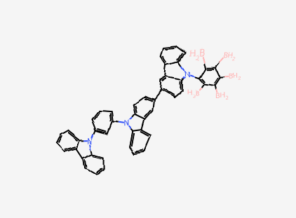 Bc1c(B)c(B)c(-n2c3ccccc3c3cc(-c4ccc5c(c4)c4ccccc4n5-c4cccc(-n5c6ccccc6c6ccccc65)c4)ccc32)c(B)c1B